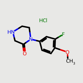 COc1ccc(N2CCNCC2=O)cc1F.Cl